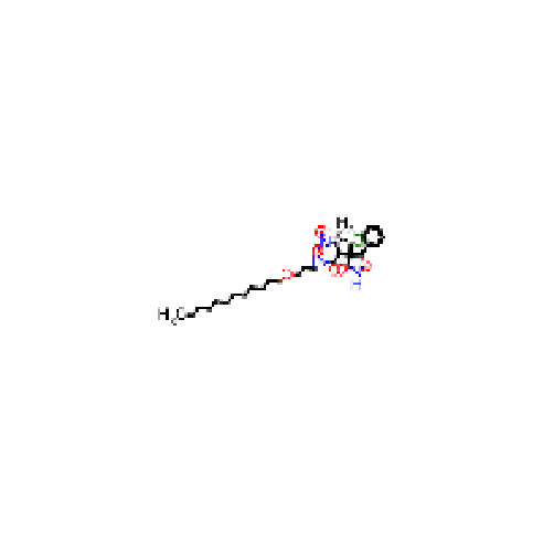 CCCCCCCCCCCCOCCCNC(=O)C(C(C)[N+](=O)[O-])C1(CCl)C(=O)NOC1c1ccccc1